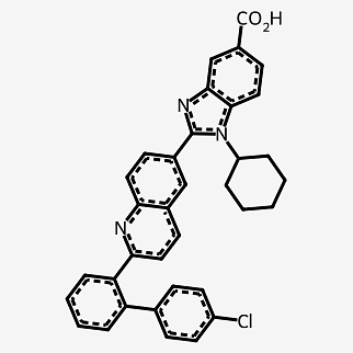 O=C(O)c1ccc2c(c1)nc(-c1ccc3nc(-c4ccccc4-c4ccc(Cl)cc4)ccc3c1)n2C1CCCCC1